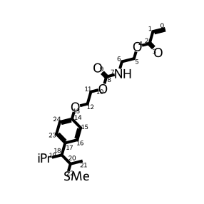 C=CC(=O)OCCNC(=O)OCCOc1ccc(C(C(C)C)C(C)SC)cc1